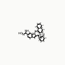 N/C(=N\O)c1ccc2cc(C(=O)O)n(Cc3cc(Oc4ccccc4)cc4ccccc34)c2c1